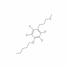 CCCCCOc1c(F)c(F)c(CCCSC)c(F)c1F